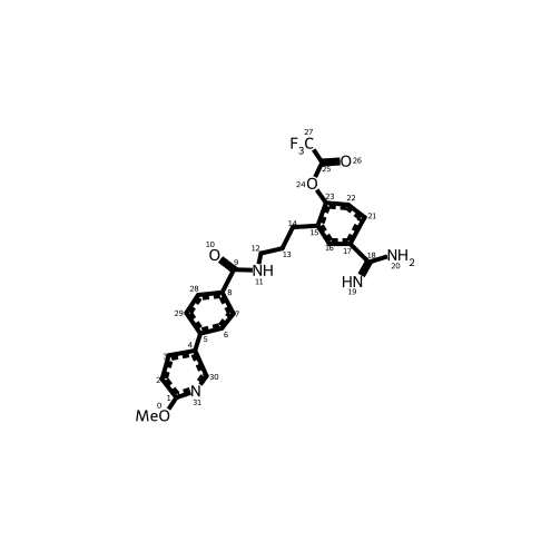 COc1ccc(-c2ccc(C(=O)NCCCc3cc(C(=N)N)ccc3OC(=O)C(F)(F)F)cc2)cn1